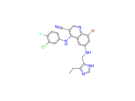 CCc1nc[nH]c1CNc1cc(Br)c2ncc(C#N)c(Nc3ccc(F)c(Cl)c3)c2c1